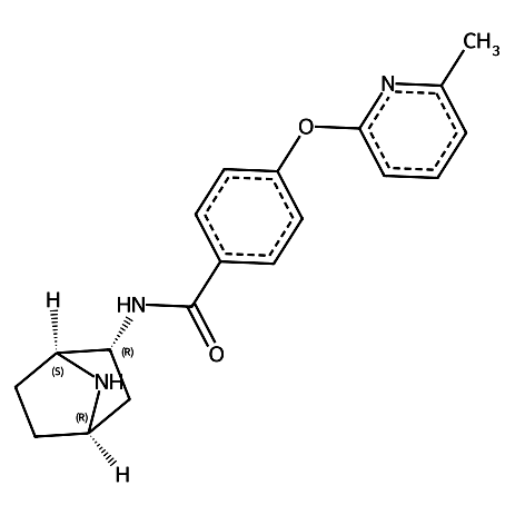 Cc1cccc(Oc2ccc(C(=O)N[C@@H]3C[C@H]4CC[C@@H]3N4)cc2)n1